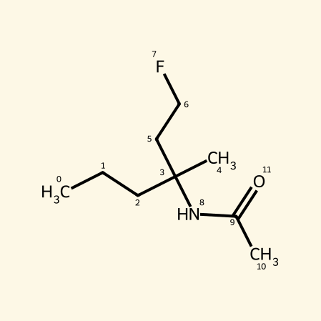 CCCC(C)(CCF)NC(C)=O